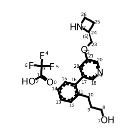 O=C(O)C(F)(F)F.OCCCc1ccccc1-c1cncc(OC[C@@H]2CCN2)c1